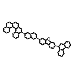 c1ccc2c(c1)cc(-c1ccc3c(c1)oc1cc(-c4ccc5cc(-c6cc7ccc8ccc9ccccc9c8c7c7ccccc67)ccc5c4)ccc13)c1ccccc12